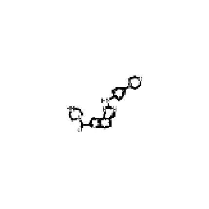 O=C(c1cc2c(ccc3cnc(Nc4ccc(N5CCOCC5)cc4)nc32)s1)N1CCNCC1